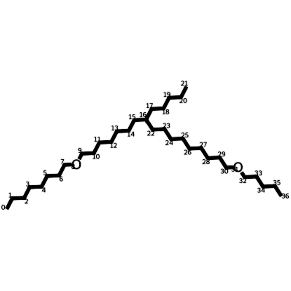 CCCCCCCCOCCCCCCC[C](CCCCC)CCCCCCCCCOCCCCC